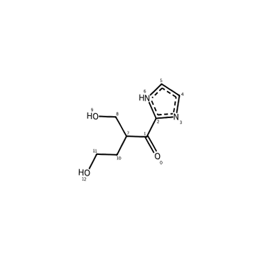 O=C(c1ncc[nH]1)C(CO)CCO